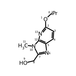 CC(C)Oc1ccc2nc(CO)n(C)c2n1